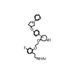 CC(=O)NCCc1ccc(F)cc1OCCO[C@H]1CNCC[C@@H]1c1ccc(O[C@H]2CCN(c3ccccc3)C2)cc1